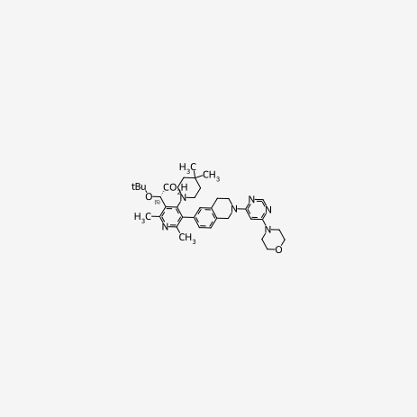 Cc1nc(C)c([C@H](OC(C)(C)C)C(=O)O)c(N2CCC(C)(C)CC2)c1-c1ccc2c(c1)CCN(c1cc(N3CCOCC3)ncn1)C2